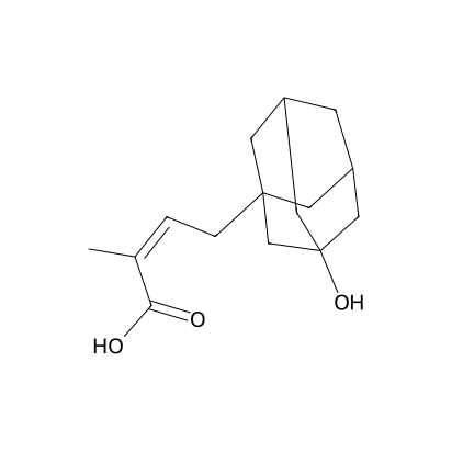 CC(=CCC12CC3CC(CC(O)(C3)C1)C2)C(=O)O